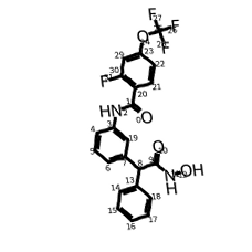 O=C(Nc1cccc(C(C(=O)NO)c2ccccc2)c1)c1ccc(OC(F)(F)F)cc1F